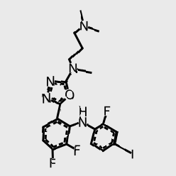 CN(C)CCCN(C)c1nnc(-c2ccc(F)c(F)c2Nc2ccc(I)cc2F)o1